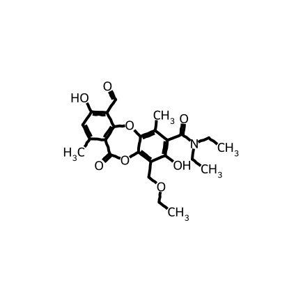 CCOCc1c(O)c(C(=O)N(CC)CC)c(C)c2c1OC(=O)c1c(C)cc(O)c(C=O)c1O2